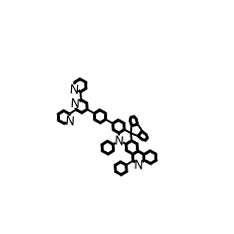 c1ccc(-c2nc3ccccc3c3cc4c(cc23)N(c2ccccc2)c2cc(-c3ccc(-c5cc(-c6ccccn6)nc(-c6ccccn6)c5)cc3)ccc2C42c3ccccc3-c3ccccc32)cc1